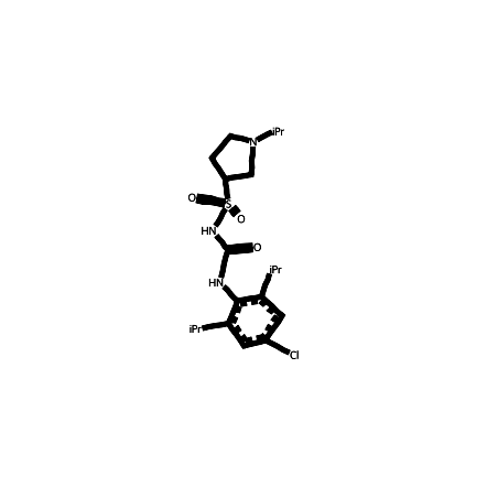 CC(C)c1cc(Cl)cc(C(C)C)c1NC(=O)NS(=O)(=O)C1CCN(C(C)C)C1